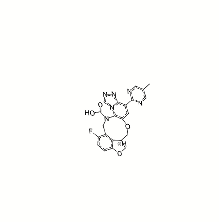 Cc1cnc(-c2cc3c(n4cnnc24)N(C(=O)O)Cc2c(F)ccc4c2[C@@H](CO4)CO3)nc1